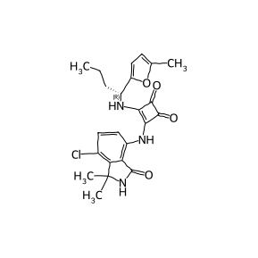 CCC[C@@H](Nc1c(Nc2ccc(Cl)c3c2C(=O)NC3(C)C)c(=O)c1=O)c1ccc(C)o1